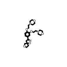 c1cc(OCCN2CCOCC2)c(OCCN2CCOCC2)cc1C1=NOC2(CCOC2)C1